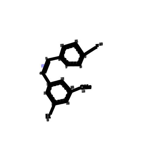 CCc1cc(/C=C\c2ccc(F)cc2)cc(OC)c1